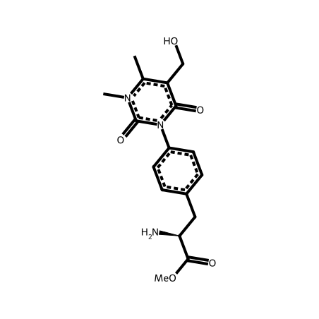 COC(=O)[C@@H](N)Cc1ccc(-n2c(=O)c(CO)c(C)n(C)c2=O)cc1